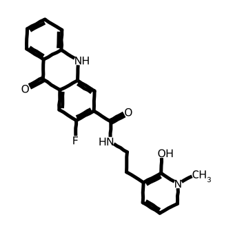 CN1CC=CC(CCNC(=O)c2cc3[nH]c4ccccc4c(=O)c3cc2F)=C1O